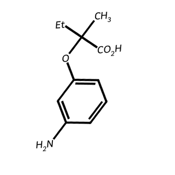 CCC(C)(Oc1cccc(N)c1)C(=O)O